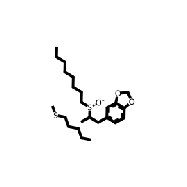 CCCCCCCC[S+]([O-])C(C)Cc1ccc2c(c1)OCO2.CCCCCSC